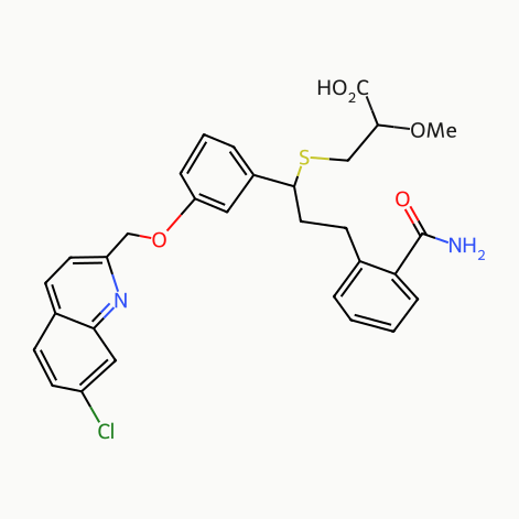 COC(CSC(CCc1ccccc1C(N)=O)c1cccc(OCc2ccc3ccc(Cl)cc3n2)c1)C(=O)O